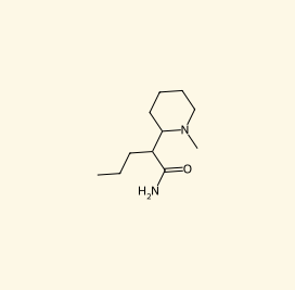 CCCC(C(N)=O)C1CCCCN1C